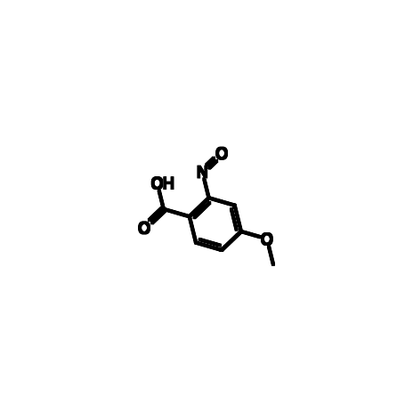 COc1ccc(C(=O)O)c(N=O)c1